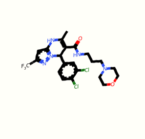 CC1=C(C(=O)NCCCN2CCOCC2)C(c2ccc(Cl)c(Cl)c2)n2nc(C(F)(F)F)cc2N1